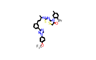 Cc1ccc(C(C)C)c(N2C(=O)CS/C2=N\C(=S)NC(C)/C=C/c2cccc(-c3ncn(-c4ccc(OC(F)(F)F)cc4)n3)c2)c1